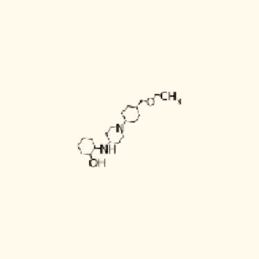 CCOC[C@H]1CC[C@@H](N2CCC(N[C@@H]3CCCC[C@@H]3O)CC2)CC1